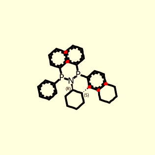 c1ccc(P(c2ccccc2)N([C@@H]2CCCC[C@H]2CC2CCCCC2)P(c2ccccc2)c2ccccc2)cc1